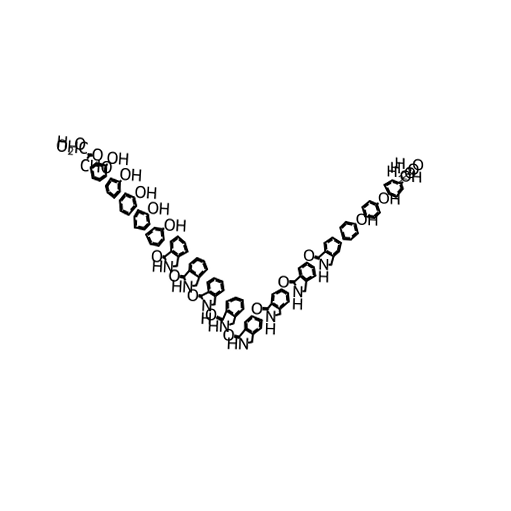 O.O.O.O.O=C1NCc2ccccc21.O=C1NCc2ccccc21.O=C1NCc2ccccc21.O=C1NCc2ccccc21.O=C1NCc2ccccc21.O=C1NCc2ccccc21.O=C1NCc2ccccc21.O=C1NCc2ccccc21.O=CC(=O)C=O.Oc1ccccc1.Oc1ccccc1.Oc1ccccc1.Oc1ccccc1.Oc1ccccc1.Oc1ccccc1.Oc1ccccc1.Oc1ccccc1